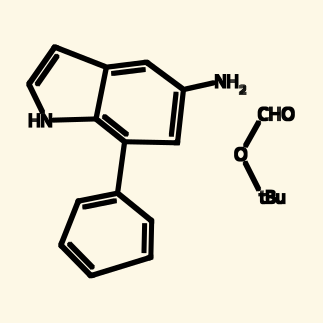 CC(C)(C)OC=O.Nc1cc(-c2ccccc2)c2[nH]ccc2c1